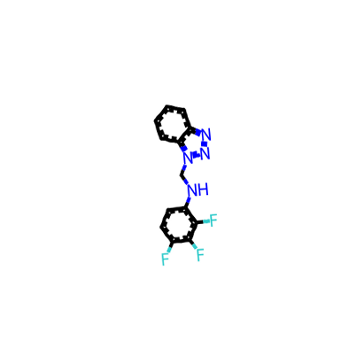 Fc1ccc(NCn2nnc3ccccc32)c(F)c1F